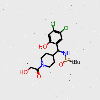 CC(C)(C)[S+]([O-])NC(c1cc(Cl)c(Cl)cc1O)C1CCN(C(=O)CO)CC1